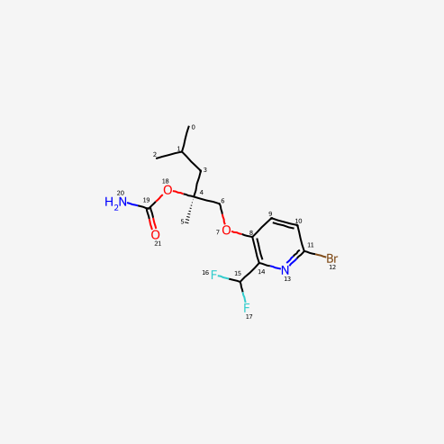 CC(C)C[C@@](C)(COc1ccc(Br)nc1C(F)F)OC(N)=O